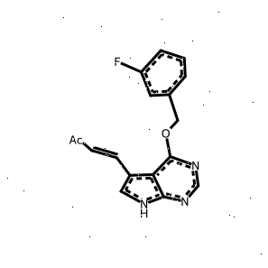 CC(=O)/C=C/c1c[nH]c2ncnc(OCc3cccc(F)c3)c12